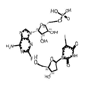 Nc1nc(F)nc2c1ncn2[C@@H]1O[C@H](COP(=O)(O)O)[C@@H](O)[C@@H]1O.O=c1[nH]c(=O)n(C2C[C@H](O)[C@@H](CO)O2)cc1I